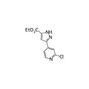 CCOC(=O)c1cc(-c2ccnc(Cl)c2)n[nH]1